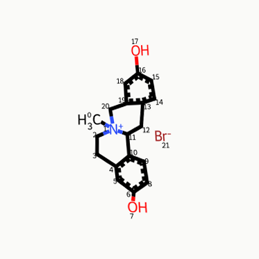 C[N+]12CCc3cc(O)ccc3C1Cc1ccc(O)cc1C2.[Br-]